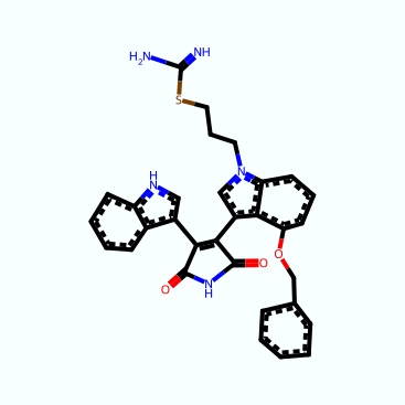 N=C(N)SCCCn1cc(C2=C(c3c[nH]c4ccccc34)C(=O)NC2=O)c2c(OCc3ccccc3)cccc21